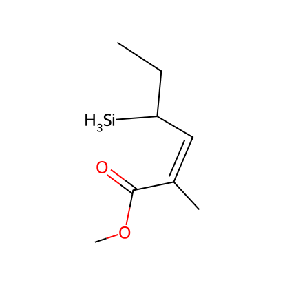 CCC([SiH3])C=C(C)C(=O)OC